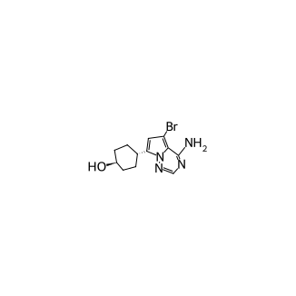 Nc1ncnn2c1c(Br)cc2[C@H]1CC[C@H](O)CC1